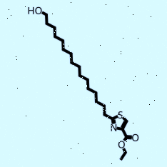 CCOC(=O)c1csc(CCCCCCCCCCCCCCCCO)n1